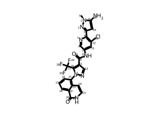 Cn1nc(-c2ncc(NC(=O)c3cnn(-c4cccc5c(=O)[nH]ccc45)c3C(F)(F)F)cc2Cl)cc1N